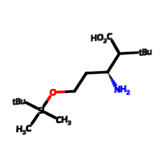 CC(C)(C)C(C(=O)O)[C@H](N)CCO[Si](C)(C)C(C)(C)C